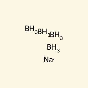 B.B.B.B.[Na]